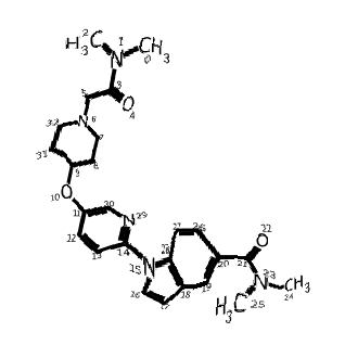 CN(C)C(=O)CN1CCC(Oc2ccc(-n3ccc4cc(C(=O)N(C)C)ccc43)nc2)CC1